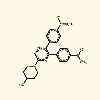 C[S+]([O-])c1ccc(-c2nnc(N3CCC(O)CC3)nc2-c2ccc([S+](C)[O-])cc2)cc1